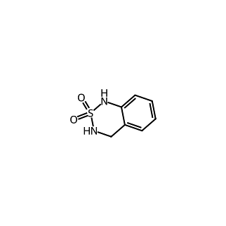 O=S1(=O)NCc2ccccc2N1